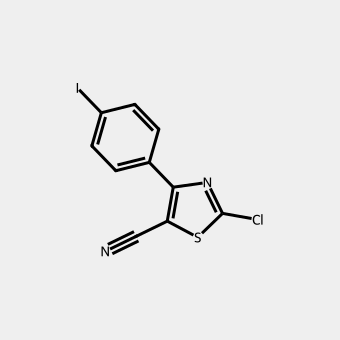 N#Cc1sc(Cl)nc1-c1ccc(I)cc1